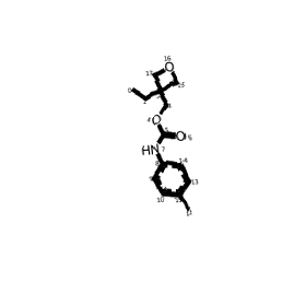 CCC1(COC(=O)Nc2ccc(C)cc2)COC1